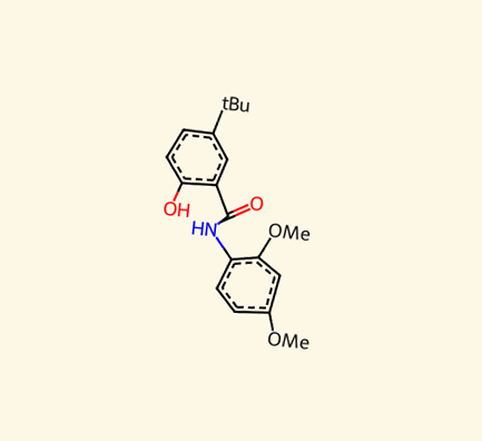 COc1ccc(NC(=O)c2cc(C(C)(C)C)ccc2O)c(OC)c1